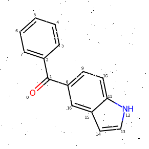 O=C(c1[c]cccc1)c1ccc2[nH]ccc2c1